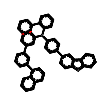 c1ccc(-c2ccccc2N(c2ccc(-c3ccc4sc5ccccc5c4c3)cc2)c2cccc(-c3cccc(-c4cccc5ccccc45)c3)c2)cc1